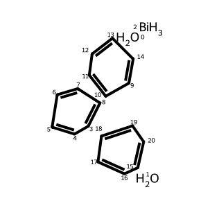 O.O.[BiH3].c1ccccc1.c1ccccc1.c1ccccc1